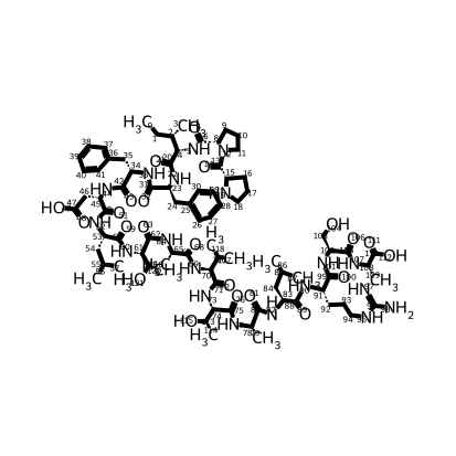 CC[C@H](C)[C@H](NC(=O)[C@@H]1CCCN1C(=O)[C@@H]1CCCN1)C(=O)N[C@@H](Cc1ccccc1)C(=O)N[C@@H](Cc1ccccc1)C(=O)N[C@@H](CC(=O)O)C(=O)N[C@@H](CC(C)C)C(=O)N[C@H](C(=O)N[C@@H](C)C(=O)N[C@H](C(=O)N[C@H](C(=O)N[C@@H](C)C(=O)N[C@@H](CC(C)C)C(=O)N[C@@H](CCCNC(=N)N)C(=O)N[C@@H](CO)C(=O)N[C@@H](C)C(=O)O)[C@@H](C)O)C(C)C)[C@@H](C)O